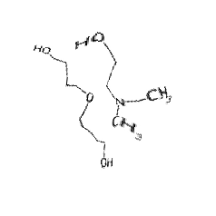 CN(C)CCO.OCCOCCO